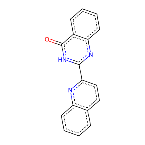 O=c1[nH]c(-c2ccc3ccccc3n2)nc2ccccc12